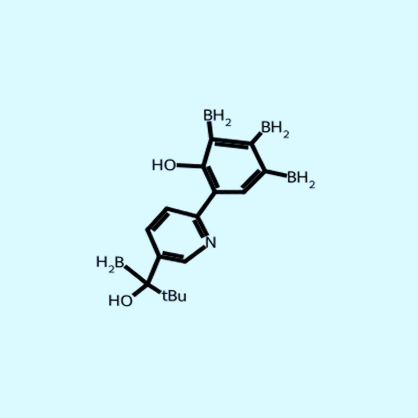 Bc1cc(-c2ccc(C(B)(O)C(C)(C)C)cn2)c(O)c(B)c1B